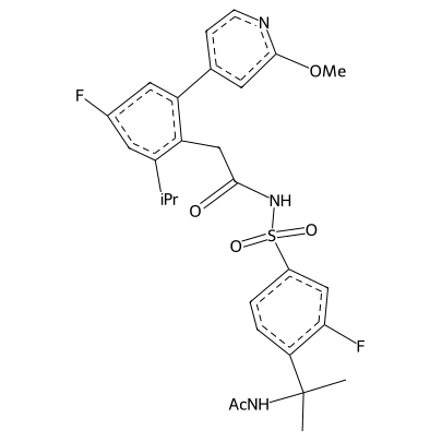 COc1cc(-c2cc(F)cc(C(C)C)c2CC(=O)NS(=O)(=O)c2ccc(C(C)(C)NC(C)=O)c(F)c2)ccn1